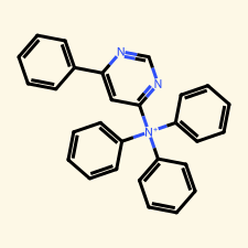 c1ccc(-c2cc([N+](c3ccccc3)(c3ccccc3)c3ccccc3)ncn2)cc1